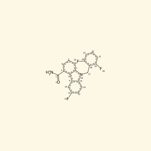 NC(=O)c1cccc2c1c1[c]c(F)ccc1n2Cc1c(F)cccc1F